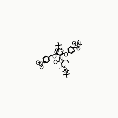 CC[C@@H]1[C@H]([C@@H](C)S[Si](C)(C)C(C)(C)C)C(=O)N1C(C(=O)OCc1ccc([N+](=O)[O-])cc1)=C(Oc1ccc(S(=O)(=O)N(C)C)cc1)SC(=O)C(C)(C)C